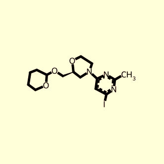 Cc1nc(I)cc(N2CCO[C@H](COC3CCCCO3)C2)n1